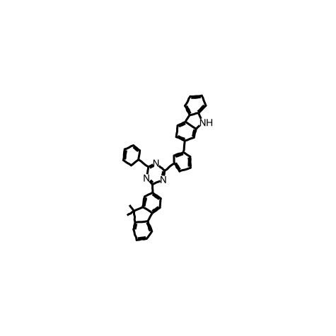 CC1(C)c2ccccc2-c2ccc(-c3nc(-c4cccc(-c5ccc6c(c5)[nH]c5ccccc56)c4)nc(C4C=CC=CC4)n3)cc21